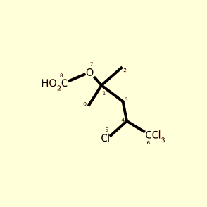 CC(C)(CC(Cl)C(Cl)(Cl)Cl)OC(=O)O